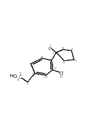 O=C(O)Cc1ccc(C2(Cl)CCCC2)c(Cl)c1